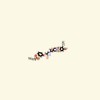 CNS(=O)(=O)c1cccc(OCC(O)CN[C@H]2COC3(CCN(S(=O)(=O)c4ccc(Br)c(C)c4)CC3)C2)c1